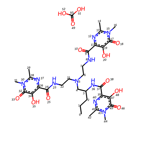 CCCC(CN(CCNC(=O)c1nc(C)n(C)c(=O)c1O)CCNC(=O)c1nc(C)n(C)c(=O)c1O)NC(=O)c1nc(C)n(C)c(=O)c1O.O=C(O)O